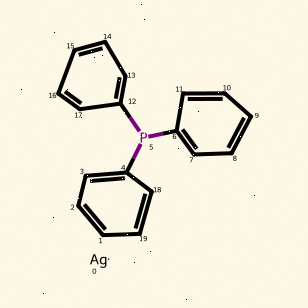 [Ag].c1ccc(P(c2ccccc2)c2ccccc2)cc1